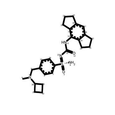 CN(Cc1ccc([S@](N)(=O)=NC(=O)Nc2c3c(cc4c2CCC4)CCC3)cc1)C1CCC1